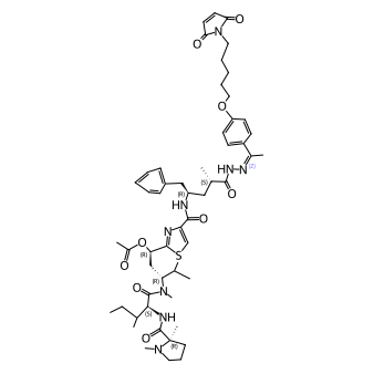 CCC(C)[C@H](NC(=O)[C@@]1(C)CCCN1C)C(=O)N(C)[C@H](C[C@@H](OC(C)=O)c1nc(C(=O)N[C@@H](Cc2ccccc2)C[C@H](C)C(=O)N/N=C(/C)c2ccc(OCCCCCN3C(=O)C=CC3=O)cc2)cs1)C(C)C